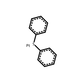 [Pt].c1ccc(Sc2ccccc2)cc1